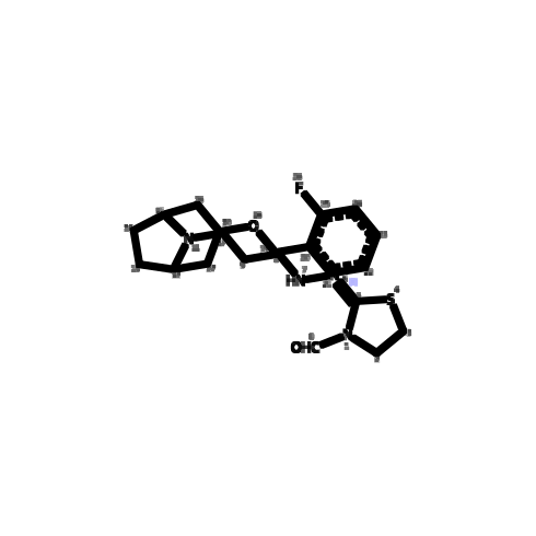 O=CN1CCS/C1=N/NCCCN1C2CCC1CC(OCc1ccccc1F)C2